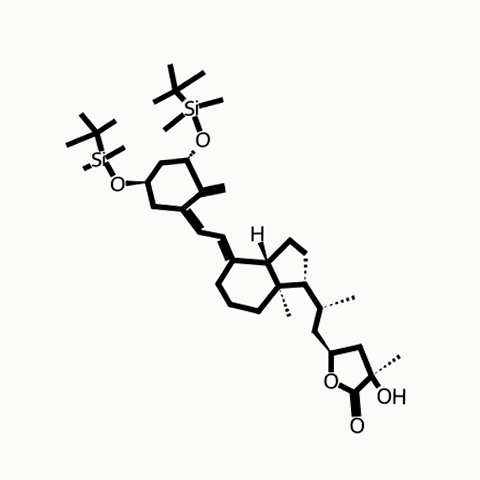 C=C1/C(=C\C=C2/CCC[C@]3(C)[C@@H]([C@H](C)C[C@H]4C[C@@](C)(O)C(=O)O4)CC[C@@H]23)C[C@@H](O[Si](C)(C)C(C)(C)C)C[C@@H]1O[Si](C)(C)C(C)(C)C